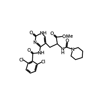 COC(=O)C(Cc1c[nH]c(=O)nc1NC(=O)c1c(Cl)cccc1Cl)NC(=O)N1CCCCC1